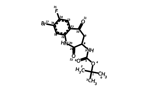 CC(C)(C)OC(=O)NC1CC(=O)c2cc(F)c(Br)cc2NC1=O